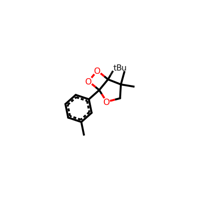 Cc1cccc(C23OCC(C)(C)C2(C(C)(C)C)OO3)c1